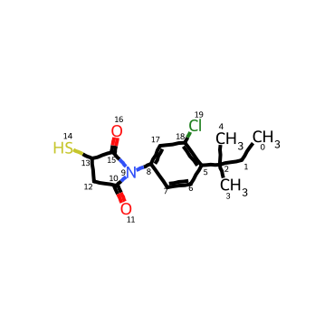 CCC(C)(C)c1ccc(N2C(=O)CC(S)C2=O)cc1Cl